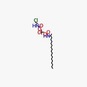 CCCCCCCCCCCCCCCCCC(C)NC(=O)OCC(C)(COC(=O)NCCCl)OC